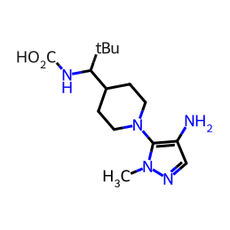 Cn1ncc(N)c1N1CCC(C(NC(=O)O)C(C)(C)C)CC1